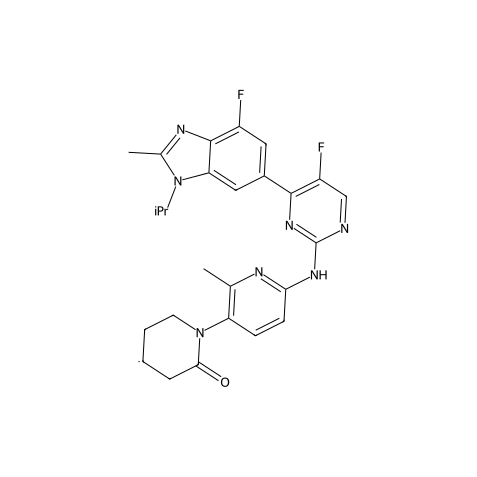 Cc1nc(Nc2ncc(F)c(-c3cc(F)c4nc(C)n(C(C)C)c4c3)n2)ccc1N1CC[CH]CC1=O